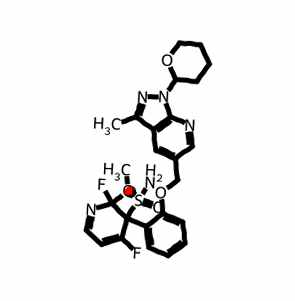 COC1(F)N=CC=C(F)C1(c1ccccc1OCc1cnc2c(c1)c(C)nn2C1CCCCO1)S(N)(=O)=O